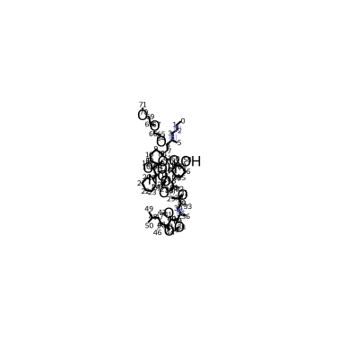 C/C=C/C=C(\C)C(C[C@@H]1CC[C@@H](C)[C@](O)(C(=O)C(=O)N2CCCC[C@H]2C(=O)O[C@@H](CC(=O)[C@H](C)/C=C(\C)[C@@H](OC)[C@@H](OC)C(=O)[C@H](C)CC(C)C)[C@H](C)C[C@@H]2CC[C@@H](O)[C@H](OC)C2)O1)OCCOCCOC